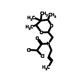 CC=CCN(CC1OC(C)C(C)(C)C(C)O1)C(=O)C(Cl)Cl